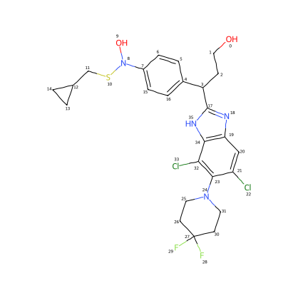 OCCC(c1ccc(N(O)SCC2CC2)cc1)c1nc2cc(Cl)c(N3CCC(F)(F)CC3)c(Cl)c2[nH]1